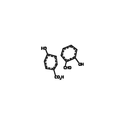 O=C(O)c1ccc(O)cc1.O=Cc1ccccc1O